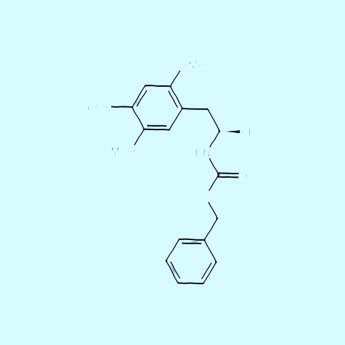 CCCCCCc1cc(OC)c(C[C@@H](C)NC(=O)OCc2ccccc2)cc1OC